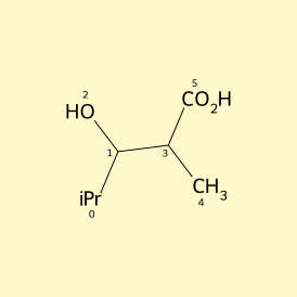 CC(C)C(O)C(C)C(=O)O